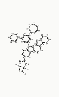 CCC1(C)OB(c2ccc3c(c2)c2ccc4c5ccccc5sc4c2n3-c2nc(C3=CCC=CC=C3)nc(-c3ccccc3)n2)OC1(C)C